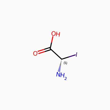 N[C@@H](I)C(=O)O